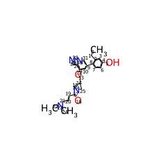 CCc1cc(O)ccc1-c1cc(OCC2CN(C(=O)/C=C/CN(C)C)C2)c2cncn2c1